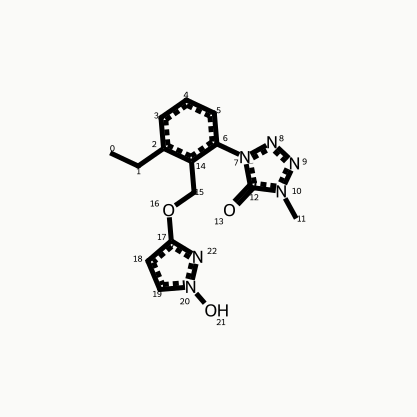 CCc1cccc(-n2nnn(C)c2=O)c1COc1ccn(O)n1